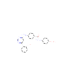 COc1ccccc1-c1cc(Nc2ccc(C(=O)Nc3ccc(O)cc3)cc2)ncn1